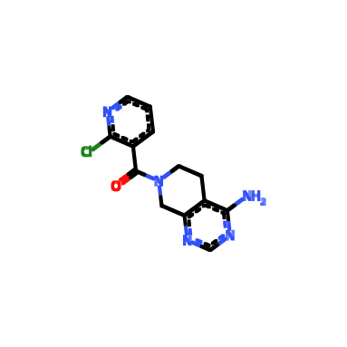 Nc1ncnc2c1CCN(C(=O)c1cccnc1Cl)C2